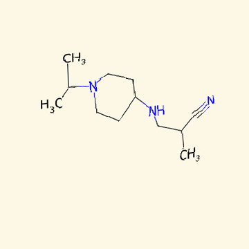 CC(C#N)CNC1CCN(C(C)C)CC1